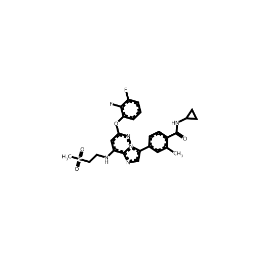 Cc1cc(-c2cnc3c(NCCS(C)(=O)=O)cc(Oc4cccc(F)c4F)nn23)ccc1C(=O)NC1CC1